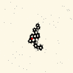 c1ccc(-c2c(-c3c4ccccc4c(-c4cccc5c4oc4ccc6ccccc6c45)c4ccccc34)oc3c2ccc2sc4ccccc4c23)cc1